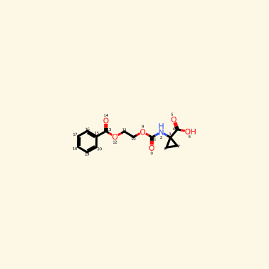 O=C(NC1(C(=O)O)CC1)OCCOC(=O)c1ccccc1